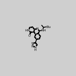 CC(Nc1nc2cc[nH]c(=O)c2c2cc(-c3c[nH]nn3)ccc12)C(C)(C)C